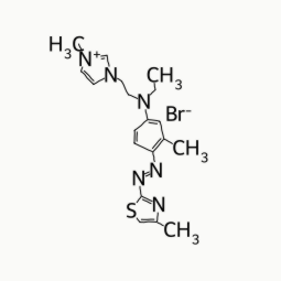 CCN(CCn1cc[n+](C)c1)c1ccc(/N=N/c2nc(C)cs2)c(C)c1.[Br-]